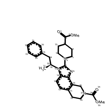 COC(=O)C1CCN(c2nc3c4c(ccc3n2[C@@H](C)Cc2ccccc2)CCN(C(=O)OC)C4)CC1